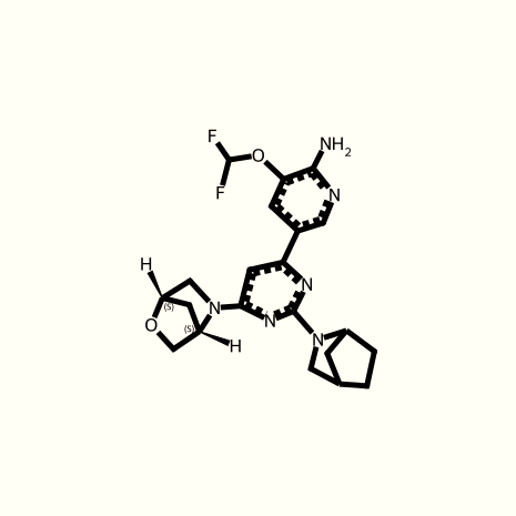 Nc1ncc(-c2cc(N3C[C@@H]4C[C@H]3CO4)nc(N3CC4CCC3C4)n2)cc1OC(F)F